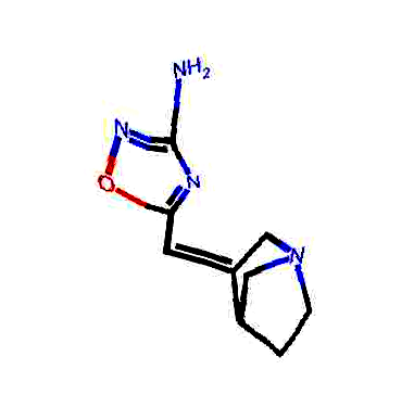 Nc1noc(C=C2CN3CCC2C3)n1